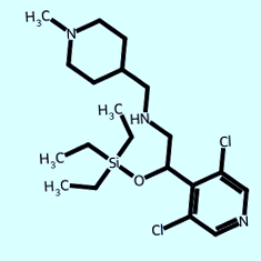 CC[Si](CC)(CC)OC(CNCC1CCN(C)CC1)c1c(Cl)cncc1Cl